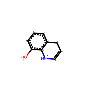 Oc1cccc2c1NC=CC2